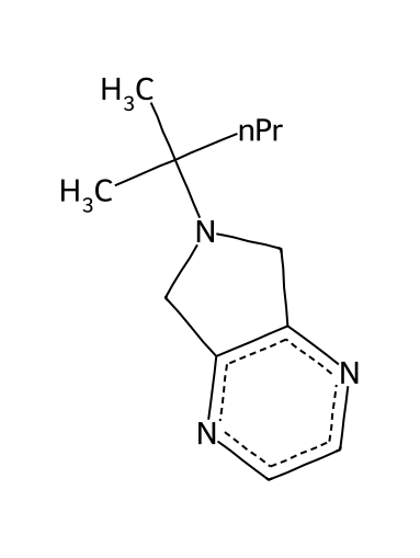 CCCC(C)(C)N1Cc2nccnc2C1